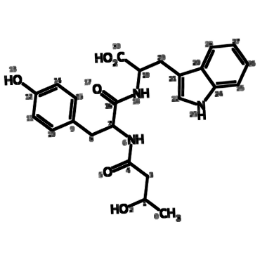 CC(O)CC(=O)NC(Cc1ccc(O)cc1)C(=O)NC(Cc1c[nH]c2ccccc12)C(=O)O